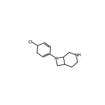 ClC1C=CC(N2CC3CCNCC32)=CC1